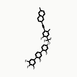 Cc1ccc2cc(C#Cc3cc(F)c(C(F)(F)Oc4ccc(-c5ccc(-c6cc(F)c(F)c(F)c6)c(F)c5)c(F)c4)cc3C)ccc2c1